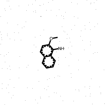 COc1ccc2ccccc2c1[NH]